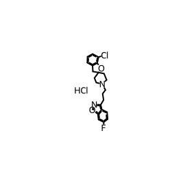 Cl.Fc1ccc2c(CCCN3CCC4(CC3)Cc3cccc(Cl)c3O4)noc2c1